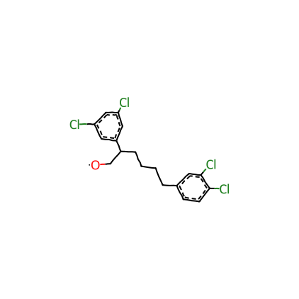 [O]CC(CCCCc1ccc(Cl)c(Cl)c1)c1cc(Cl)cc(Cl)c1